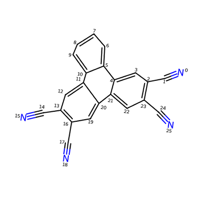 N#Cc1cc2c3ccccc3c3cc(C#N)c(C#N)cc3c2cc1C#N